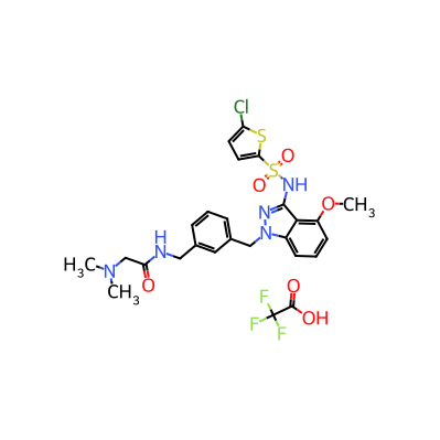 COc1cccc2c1c(NS(=O)(=O)c1ccc(Cl)s1)nn2Cc1cccc(CNC(=O)CN(C)C)c1.O=C(O)C(F)(F)F